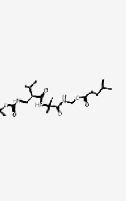 CC(C)CCC(=O)OCNC(=O)C(C)(C)NC(=O)[C@@H](CNC(=O)OC(C)(C)C)C(C)C